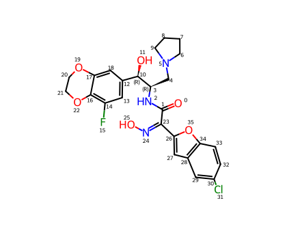 O=C(N[C@H](CN1CCCC1)[C@H](O)c1cc(F)c2c(c1)OCCO2)C(=NO)c1cc2cc(Cl)ccc2o1